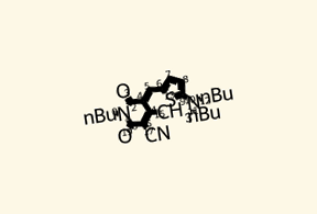 CCCCN1C(=O)C(=Cc2ccc(N(CCCC)CCCC)s2)C(C)=C(C#N)C1=O